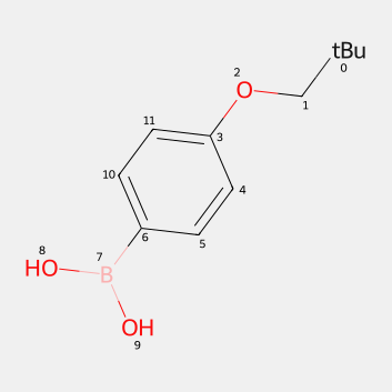 CC(C)(C)COc1ccc(B(O)O)cc1